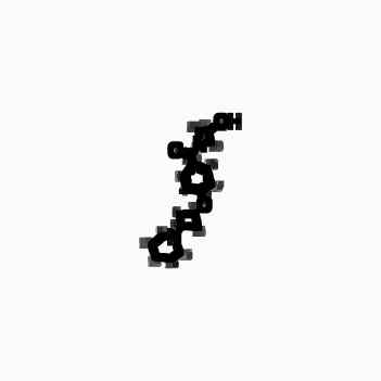 O=C(c1ccc(O[C@H]2C[C@H](N3CCCCC3)C2)cc1)N1CC(O)C1